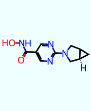 O=C(NO)c1cnc(N2CC3C[C@H]3C2)nc1